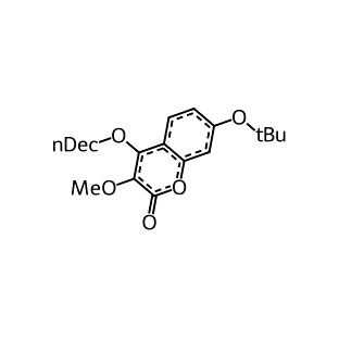 CCCCCCCCCCOc1c(OC)c(=O)oc2cc(OC(C)(C)C)ccc12